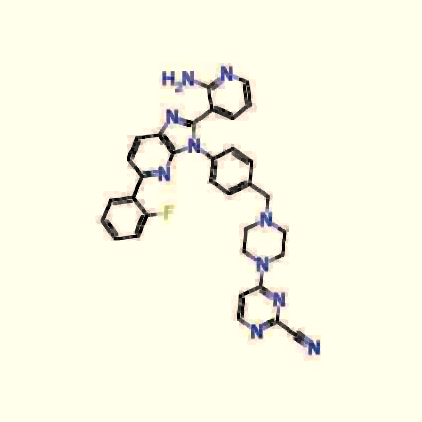 N#Cc1nccc(N2CCN(Cc3ccc(-n4c(-c5cccnc5N)nc5ccc(-c6ccccc6F)nc54)cc3)CC2)n1